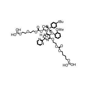 C=C(/N=C(OCCOC(=O)OCCCCON(O)O)\C(Oc1ccccc1OC)=C(/N)N(C(C)OC(=O)OCCOCCON(O)O)S(=O)(=O)c1ccc(C(C)(C)C)cc1)c1ncccn1